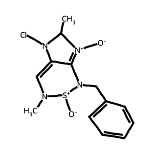 CC1N(Cl)C2=CN(C)[S+]([O-])N(Cc3ccccc3)C2=[N+]1[O-]